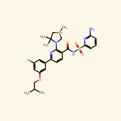 CC(C)COc1cc(F)cc(-c2ccc(C(=O)NS(=O)(=O)c3cccc(N)n3)c(N3C[SH](C)CC3(C)C)n2)c1